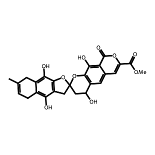 COC(=O)c1cc2cc3c(c(O)c2c(=O)o1)OC1(Cc2c(O)c4c(c(O)c2O1)CC(C)=CC4)CC3O